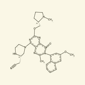 COc1cc(-n2c(C)nc3c(N4CCN[C@@H](CC#N)C4)nc(OC[C@@H]4CCCN4C)nc3c2=O)c2ccccc2c1